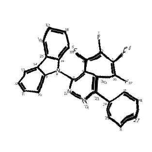 Fc1c(F)c(F)c2c(-n3c4ccccc4c4ccccc43)nnc(-c3ccccc3)c2c1F